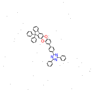 c1ccc(-c2nc(-c3ccccc3)nc(-c3ccc(-c4ccc5c(c4)Oc4cc6c(cc4O5)-c4ccccc4C6(c4ccccc4)c4ccccc4)cc3)n2)cc1